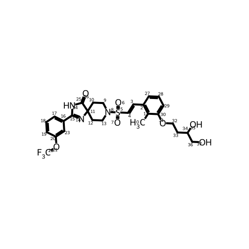 Cc1c(C=CS(=O)(=O)N2CCC3(CC2)N=C(c2cccc(OC(F)(F)F)c2)NC3=O)cccc1OCCC(O)CO